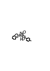 Cc1ccc(C(=O)CC2NC(N3CCc4ccccc4C3)=NC2=O)cc1